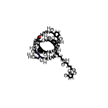 C#C/C=C1C(=O)NCCN2CCN3CCNC(=O)C4=CCCC(=C4O)C(=O)NCCN(CCNC(=O)c4cccc(c4O)C(=O)NCC3)CCN(CCNC(=O)/C(C)=C/1O)CCNC(=O)c1cccc(c1O)C(=O)NC(CCCCNC(=O)CCCC(=O)ON1C(=O)CCC1=O)C2